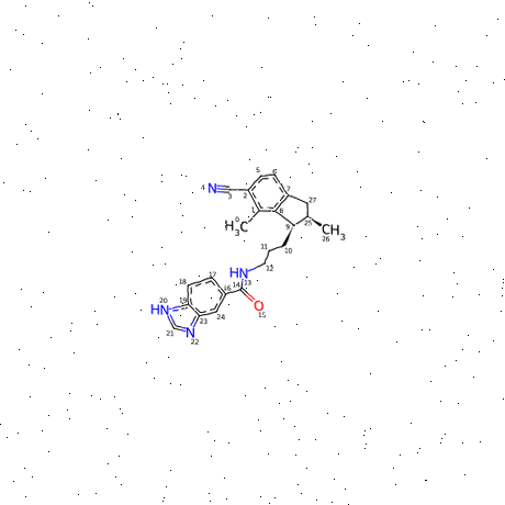 Cc1c(C#N)ccc2c1[C@H](CCCNC(=O)c1ccc3[nH]cnc3c1)[C@H](C)C2